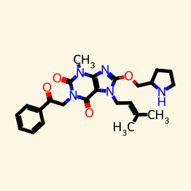 CC(C)=CCn1c(OCC2CCCN2)nc2c1c(=O)n(CC(=O)c1ccccc1)c(=O)n2C